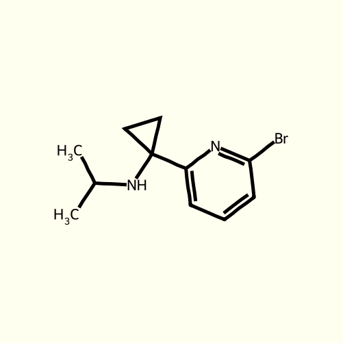 CC(C)NC1(c2cccc(Br)n2)CC1